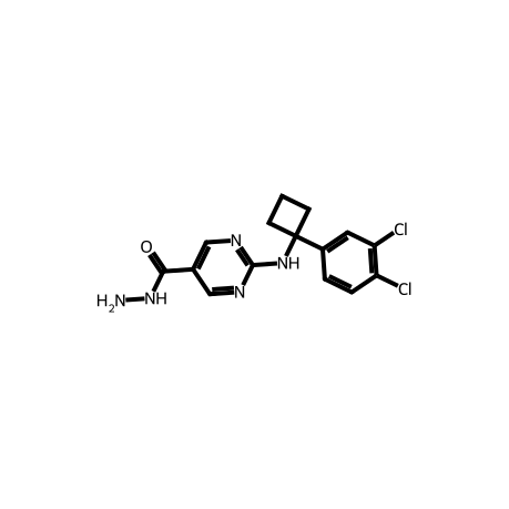 NNC(=O)c1cnc(NC2(c3ccc(Cl)c(Cl)c3)CCC2)nc1